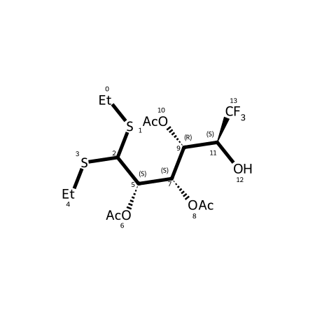 CCSC(SCC)[C@@H](OC(C)=O)[C@@H](OC(C)=O)[C@H](OC(C)=O)[C@H](O)C(F)(F)F